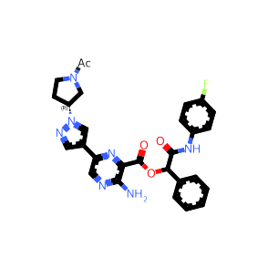 CC(=O)N1CC[C@@H](n2cc(-c3cnc(N)c(C(=O)OC(C(=O)Nc4ccc(F)cc4)c4ccccc4)n3)cn2)C1